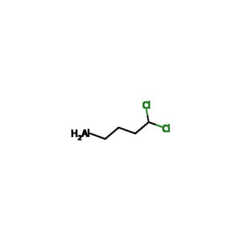 [AlH2][CH2]CCC(Cl)Cl